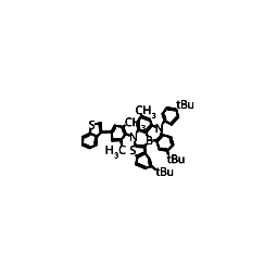 Cc1cc2c3c(c1)N(c1c(C)cc(-c4csc5ccccc45)cc1C)c1sc4ccc(C(C)(C)C)cc4c1B3c1cc(C(C)(C)C)ccc1N2c1ccc(C(C)(C)C)cc1